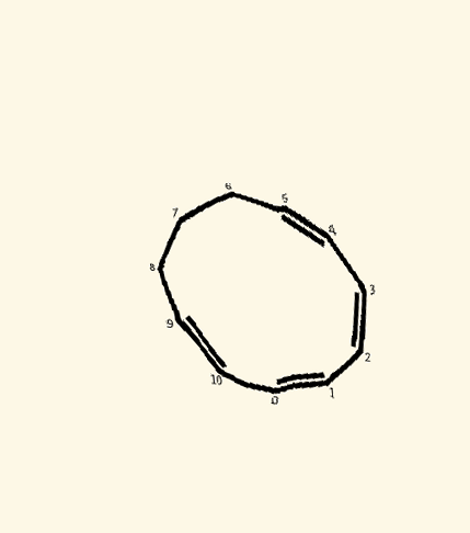 [C]1=CC=CC=CCCCC=C1